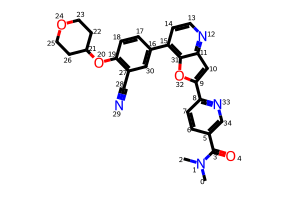 CN(C)C(=O)c1ccc(-c2cc3nccc(-c4ccc(OC5CCOCC5)c(C#N)c4)c3o2)nc1